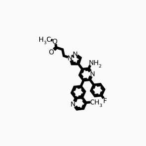 COC(=O)CCn1cc(-c2cc(-c3ccc4nccc(C)c4c3)c(-c3ccc(F)cc3)nc2N)cn1